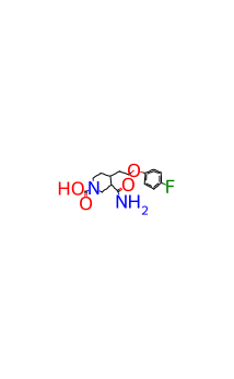 NC(=O)C1CN(C(=O)O)CCC1CCOc1ccc(F)cc1